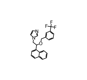 FC(F)(F)c1cccc(COC(Cn2ccnc2)c2cccc3ccccc23)c1